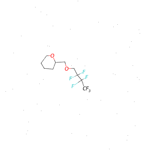 FC(F)(F)C(F)(F)C(F)(F)COCC1CCCCO1